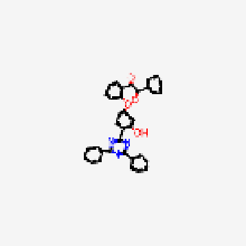 O=C(C(=O)c1ccccc1Oc1ccc(-c2nc(-c3ccccc3)nc(-c3ccccc3)n2)c(O)c1)c1ccccc1